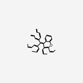 C=C\C=C/C(=C\C=C)/C(C(=C/C=C\C)/C=C\C)=C1C(/C=C\C)=C(/C=C\C)Oc2ccccc2/1